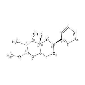 CO[C@H]1OC2CO[C@H](c3ccccc3)O[C@H]2C(O)C1N